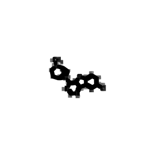 CN1CCC2CC1CN2c1ncnc2c1oc1ccc(Cl)cc12